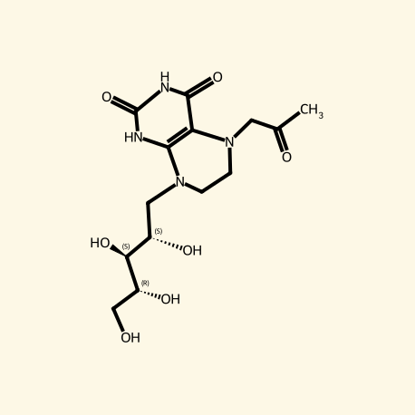 CC(=O)CN1CCN(C[C@H](O)[C@H](O)[C@H](O)CO)c2[nH]c(=O)[nH]c(=O)c21